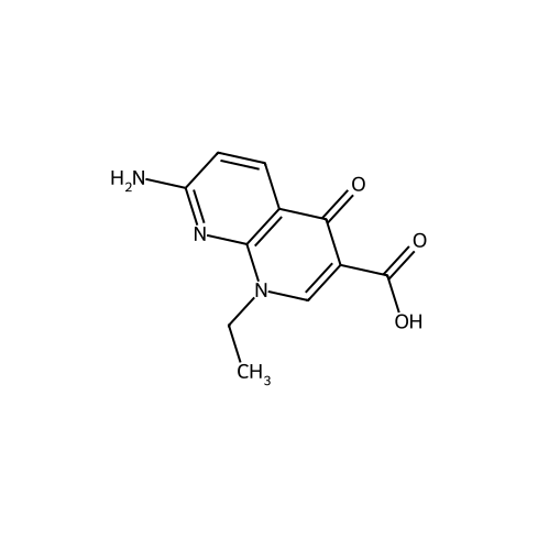 CCn1cc(C(=O)O)c(=O)c2ccc(N)nc21